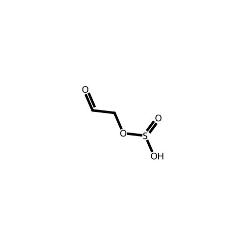 O=CCOS(=O)O